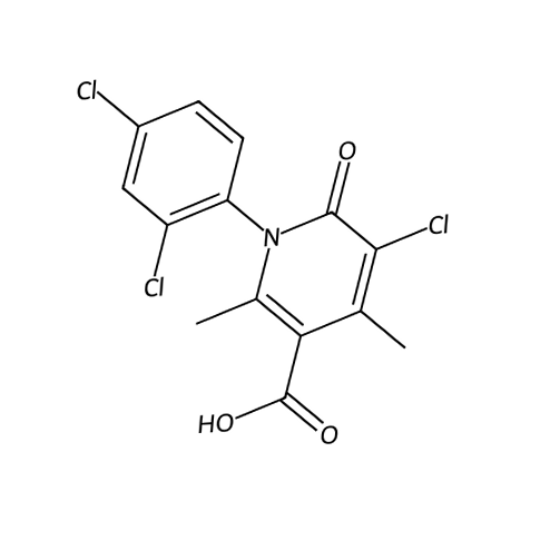 Cc1c(C(=O)O)c(C)n(-c2ccc(Cl)cc2Cl)c(=O)c1Cl